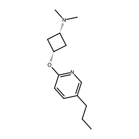 CCCc1ccc(O[C@H]2C[C@@H](N(C)C)C2)nc1